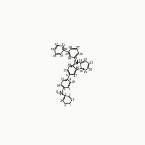 CN(c1ccccc1)c1ccc(-c2ccc3c(c2)c2ccccc2n3-c2cccc(-c3ccccc3)c2)cc1